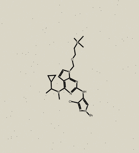 CC(C1CC1)N(C)c1nc(Nc2cn(C(C)C)nc2Cl)nc2c1ccn2COCC[Si](C)(C)C